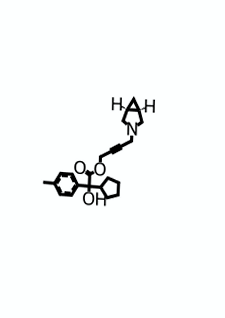 Cc1ccc(C(O)(C(=O)OCC#CCN2C[C@H]3C[C@H]3C2)C2CCCC2)cc1